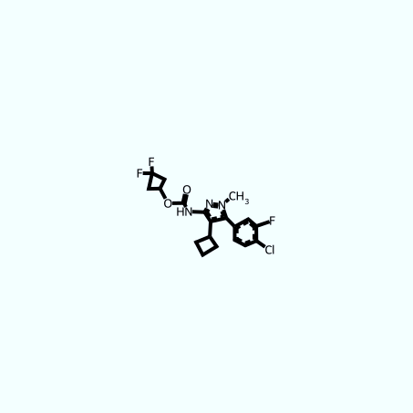 Cn1nc(NC(=O)OC2CC(F)(F)C2)c(C2CCC2)c1-c1ccc(Cl)c(F)c1